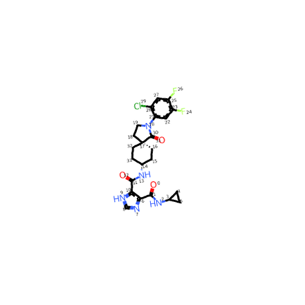 O=C(NC1CC1)c1nc[nH]c1C(=O)N[C@H]1CC[C@@]2(CCN(c3cc(F)c(F)cc3Cl)C2=O)CC1